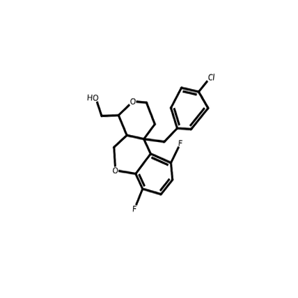 OCC1OCCC2(Cc3ccc(Cl)cc3)c3c(F)ccc(F)c3OCC12